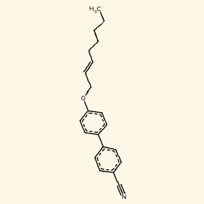 CCCCCC=CCOc1ccc(-c2ccc(C#N)cc2)cc1